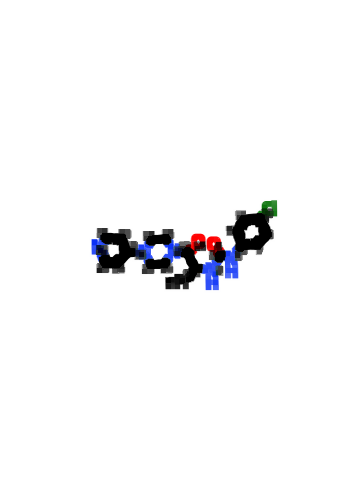 CCCC(NC(=O)Nc1ccc(Cl)cc1)C(=O)N1CCN(c2ccncc2)CC1